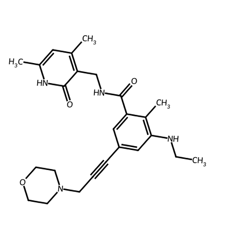 CCNc1cc(C#CCN2CCOCC2)cc(C(=O)NCc2c(C)cc(C)[nH]c2=O)c1C